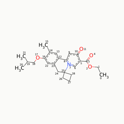 CCOC(=O)c1cn2c(cc1=O)-c1cc(C)c(OCC(C)C)cc1CC21CCC1